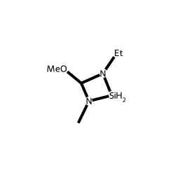 CCN1[SiH2]N(C)C1OC